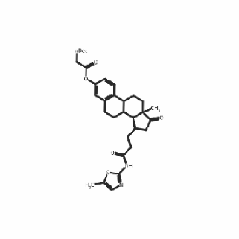 CCCCCCCCCCCC(=O)Oc1ccc2c(c1)CCC1C2CCC2(C)C(=O)CC(CCC(=O)Nc3ncc(C)s3)C12